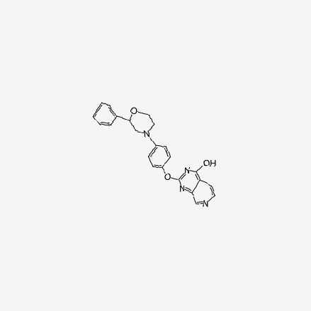 Oc1nc(Oc2ccc(N3CCOC(c4ccccc4)C3)cc2)nc2cnccc12